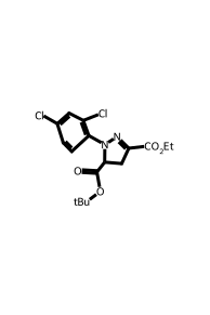 CCOC(=O)C1=NN(c2ccc(Cl)cc2Cl)C(C(=O)OC(C)(C)C)C1